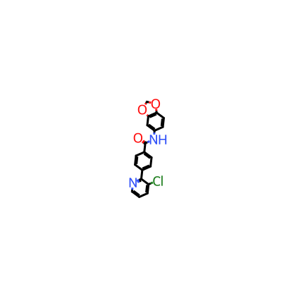 O=C(Nc1ccc2c(c1)OCO2)c1ccc(-c2ncccc2Cl)cc1